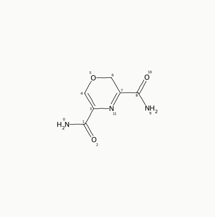 NC(=O)C1=COCC(C(N)=O)=N1